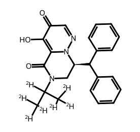 [2H]C([2H])([2H])C([2H])(N1C[C@H](C(c2ccccc2)c2ccccc2)n2ncc(=O)c(O)c2C1=O)C([2H])([2H])[2H]